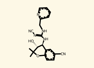 CC1(C)Oc2ccc(C#N)cc2[C@H](NC(=NC#N)NCc2ccccn2)[C@H]1O